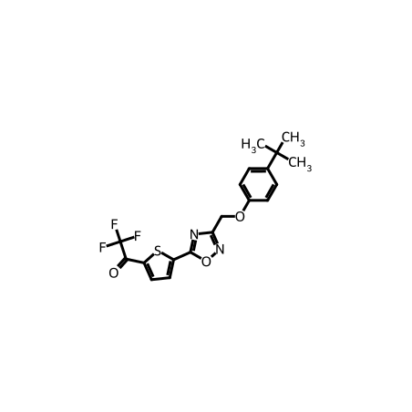 CC(C)(C)c1ccc(OCc2noc(-c3ccc(C(=O)C(F)(F)F)s3)n2)cc1